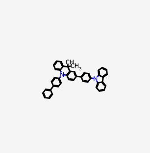 CC1(C)c2ccccc2N(c2ccc(-c3ccccc3)cc2)c2ccc(-c3ccc(-n4c5ccccc5c5ccccc54)cc3)cc21